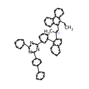 C=Cc1c(/C=C(\C)c2ccc3ccccc3c2-c2cccc(-c3nc(-c4ccccc4)nc(-c4ccc(-c5ccccc5)cc4)n3)c2)c2ccccc2c2ccccc12